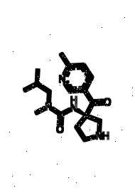 Cc1ccc(C(=O)[C@@]2(NC(=O)N(C)CC(C)C)CCNC2)cn1